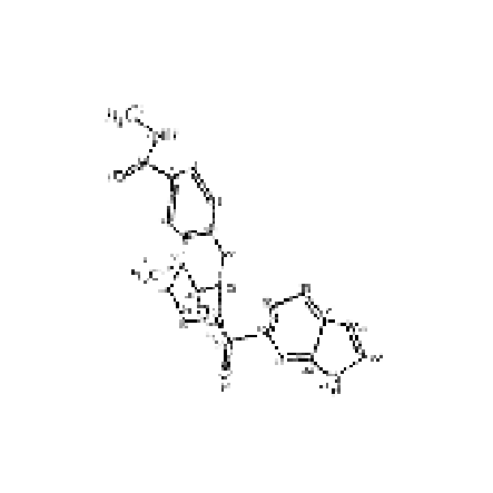 CNC(=O)c1ccc2c(c1)[C@]1(C)CCN(C(=O)c3ccc4nc[nH]c4c3)C(C2)C1C